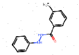 Cc1cccc(C(=O)NNc2ccccc2)c1